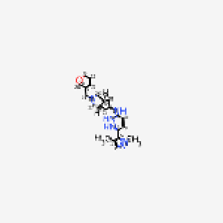 Cc1cnn(C)c1C(=N)/C=C\C(=N)N[C@H]1C[C@@H]2CN(CC3CCCOC3)C[C@@H]2C1